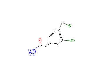 NC(=O)Cc1ccc(CF)c(Cl)c1